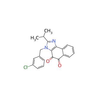 CC(C)c1nc2c(n1Cc1cccc(Cl)c1)C(=O)C(=O)c1ccccc1-2